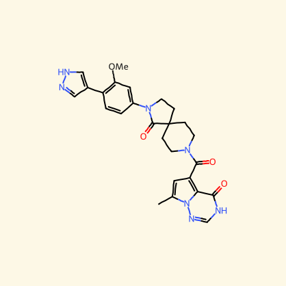 COc1cc(N2CCC3(CCN(C(=O)c4cc(C)n5nc[nH]c(=O)c45)CC3)C2=O)ccc1-c1cn[nH]c1